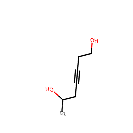 CCC(O)CC#CCCO